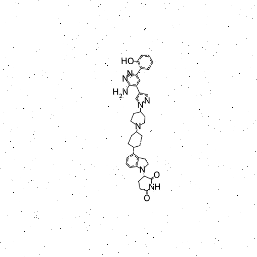 Nc1nnc(-c2ccccc2O)cc1-c1cnn(C2CCN(C3CCC(c4cccc5c4CCN5[C@H]4CCC(=O)NC4=O)CC3)CC2)c1